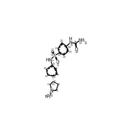 CCCN1CC[C@@H](c2ccc(NS(=O)(=O)c3ccc(NC(N)=O)cc3)cc2)C1